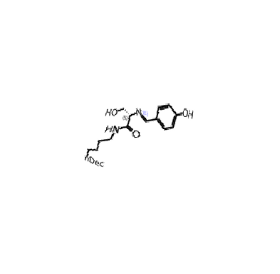 CCCCCCCCCCCCCCNC(=O)[C@H](CO)/N=C/c1ccc(O)cc1